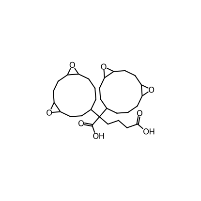 O=C(O)CCCC(C(=O)O)(C1CCCC2OC2CCC2OC2CC1)C1CCCC2OC2CCC2OC2CC1